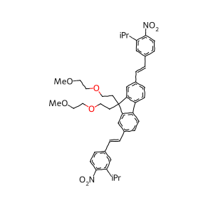 COCCOCCC1(CCOCCOC)c2cc(C=Cc3ccc([N+](=O)[O-])c(C(C)C)c3)ccc2-c2ccc(C=Cc3ccc([N+](=O)[O-])c(C(C)C)c3)cc21